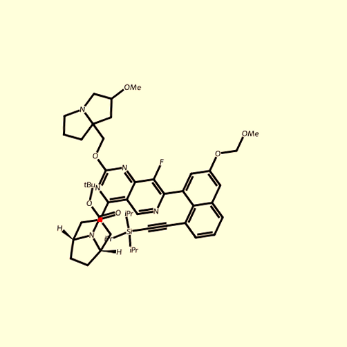 COCOc1cc(-c2ncc3c(N4C[C@H]5CC[C@@H](C4)N5C(=O)OC(C)(C)C)nc(OCC45CCCN4CC(OC)C5)nc3c2F)c2c(C#C[Si](C(C)C)(C(C)C)C(C)C)cccc2c1